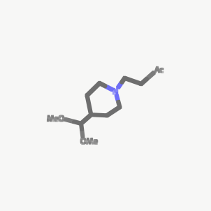 COC(OC)C1CCN(CCC(C)=O)CC1